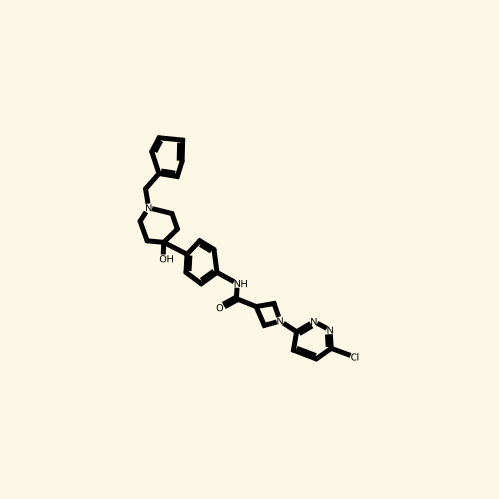 O=C(Nc1ccc(C2(O)CCN(Cc3ccccc3)CC2)cc1)C1CN(c2ccc(Cl)nn2)C1